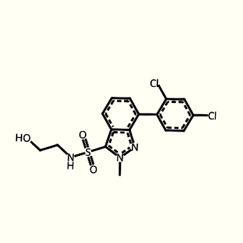 Cn1nc2c(-c3ccc(Cl)cc3Cl)cccc2c1S(=O)(=O)NCCO